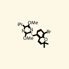 COC1=N[C@H](Cc2ccc(Br)c3c2C=CC(C)(C)O3)C(OC)=NC1C(C)C